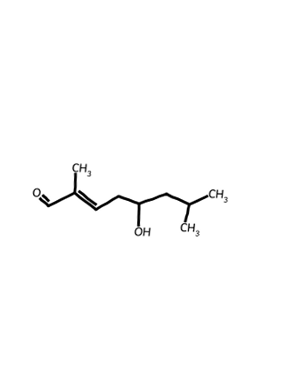 C/C(C=O)=C\CC(O)CC(C)C